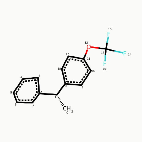 C[C@H](c1ccccc1)c1ccc(OC(F)(F)F)cc1